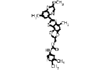 COc1cnc2c(-c3nc4c(C)cc5c(c4s3)OCC(COC(=O)Nc3cnc(C)c(C)c3)O5)cc(C)cc2n1